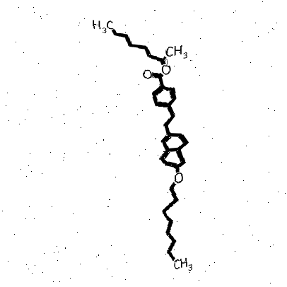 CCCCCCCCOc1ccc2cc(CCc3ccc(C(=O)O[C@H](C)CCCCCC)cc3)ccc2c1